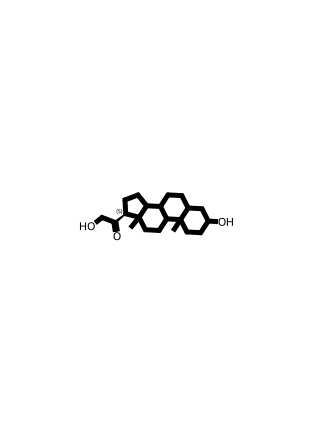 CC12CCC(O)CC1CCC1C2CCC2(C)C1CC[C@@H]2C(=O)CO